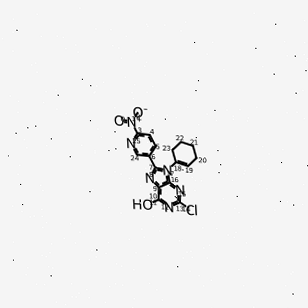 O=[N+]([O-])c1ccc(-c2nc3c(O)nc(Cl)nc3n2C2=CCCCC2)cn1